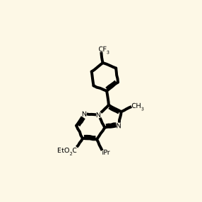 CCOC(=O)c1cnn2c(C3=CCC(C(F)(F)F)CC3)c(C)nc2c1C(C)C